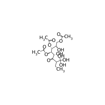 CCC(C(=O)[C@@H](O)[C@@H](OC(C)=O)[C@H](OC(C)=O)[C@H](O)COC(C)=O)C(O)(O)O